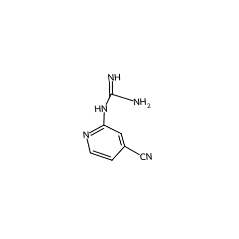 N#Cc1ccnc(NC(=N)N)c1